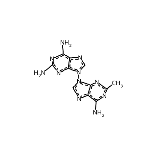 Cc1nc(N)c2ncn(-n3cnc4c(N)nc(N)nc43)c2n1